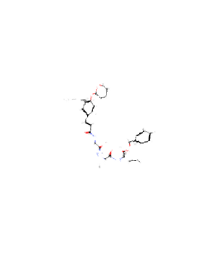 CCOC(=O)CC[C@@H](NC(=O)[C@@H](NC(=O)CNC(=O)/C=C/c1ccc(OC2CCCCO2)c(OC)c1)C(C)C)C(=O)OCc1ccccc1